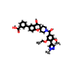 CCOc1cc(C(=O)N2CCC3(CC2)CC(=O)c2cc(-c4cccc(C(=O)O)c4)ccc2O3)cc(OC)c1-c1cnn(C)c1